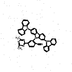 Cc1nc(C)nc(-c2ccc(C#N)c(-n3c4cc(-n5c6ccccc6c6ccccc65)ccc4c4ccc(-n5c6ccccc6c6ccccc65)cc43)c2)n1